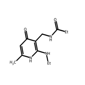 CCNc1[nH]c(C)cc(=O)c1CNC(=O)CC